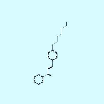 O=C(/C=C/c1ccc(CCCCCCO)cc1)c1ccccc1